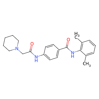 Cc1cccc(C)c1NC(=O)c1ccc(NC(=O)CN2CCCCC2)cc1